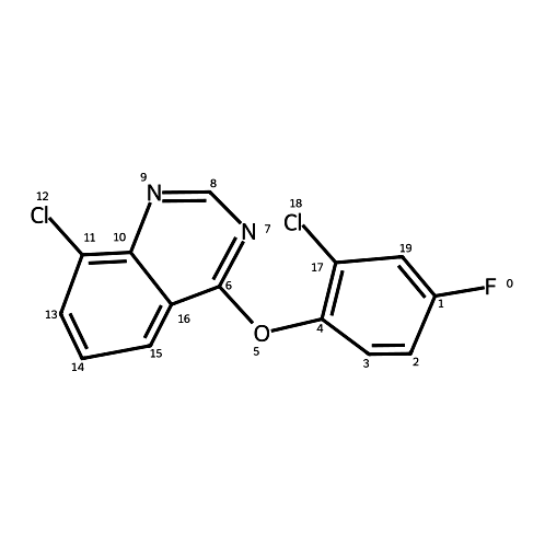 Fc1ccc(Oc2ncnc3c(Cl)cccc23)c(Cl)c1